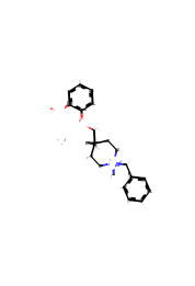 CCOc1ccccc1OCC1(OC)CC[N+](C)(Cc2ccccc2)CC1